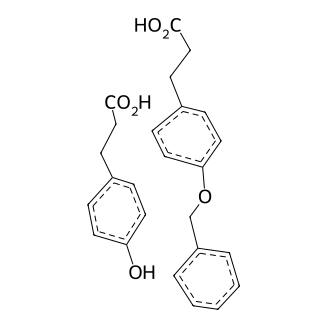 O=C(O)CCc1ccc(O)cc1.O=C(O)CCc1ccc(OCc2ccccc2)cc1